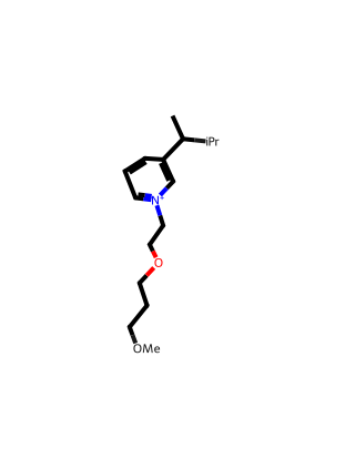 COCCCOCC[n+]1cccc(C(C)C(C)C)c1